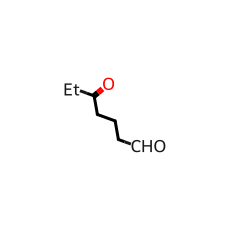 [CH2]CC(=O)CCCC=O